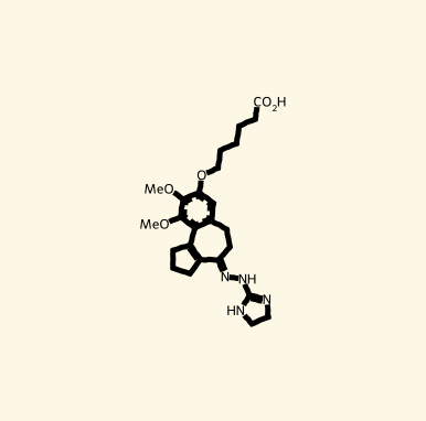 COc1c(OCCCCCC(=O)O)cc2c(c1OC)C1=C(CCC1)C(=NNC1=NCCN1)CC2